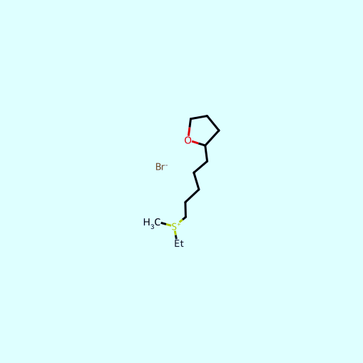 CC[S+](C)CCCCCC1CCCO1.[Br-]